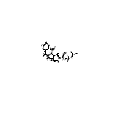 CN(C)CC(C)(C)OC(=O)c1ccc2[nH]c3c(c2c1)C(=O)c1ccccc1C3=O